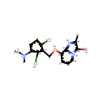 CC(=O)N(C)c1ccc(Cl)c(COc2cccn3c(Br)c(C)nc23)c1Cl